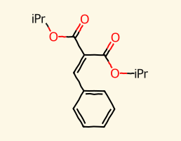 CC(C)OC(=O)C(=Cc1ccccc1)C(=O)OC(C)C